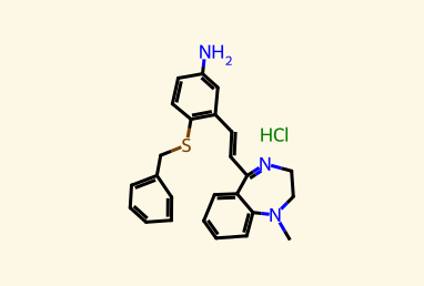 CN1CCN=C(C=Cc2cc(N)ccc2SCc2ccccc2)c2ccccc21.Cl